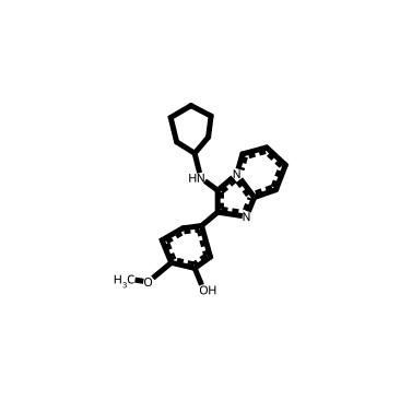 COc1ccc(-c2nc3ccccn3c2NC2CCCCC2)cc1O